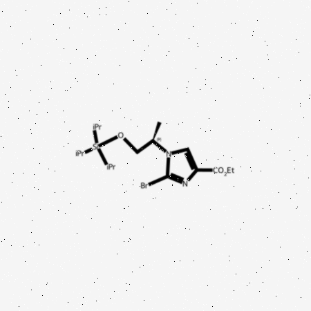 CCOC(=O)c1cn([C@H](C)CO[Si](C(C)C)(C(C)C)C(C)C)c(Br)n1